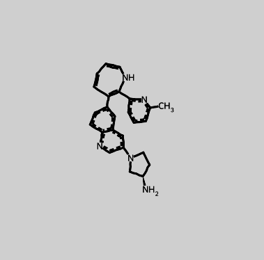 Cc1cccc(C2=C(c3ccc4ncc(N5CC[C@@H](N)C5)cc4c3)C=CC=CN2)n1